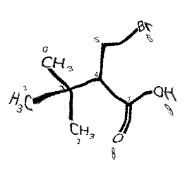 CC(C)(C)C(CBr)C(=O)O